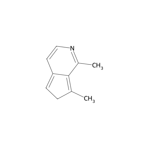 CC1=c2c(C)nccc2=CC1